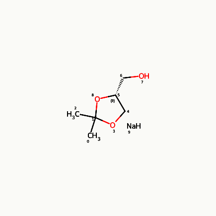 CC1(C)OC[C@@H](CO)O1.[NaH]